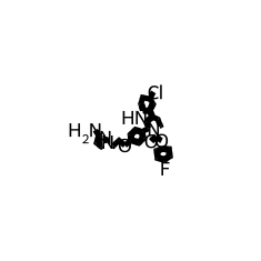 Nc1ccn(CCOc2ccc(C3c4[nH]c5c(c4CCN3C(=O)Oc3ccc(F)cc3)=CC(Cl)CC=5)cc2)n1